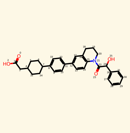 O=C(O)CC1CCC(c2ccc(-c3ccc4c(c3)CCCN4C(=O)C(O)c3ccccc3)cc2)CC1